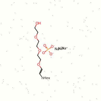 CCCCCCC=COCCOCCOCCO.O=P([O-])([O-])[O-].[Na+].[Na+].[Na+]